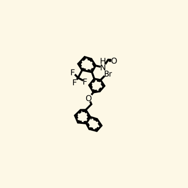 O=CNc1cccc(C(F)(F)F)c1-c1cc(OCc2cccc3ccccc23)ccc1Br